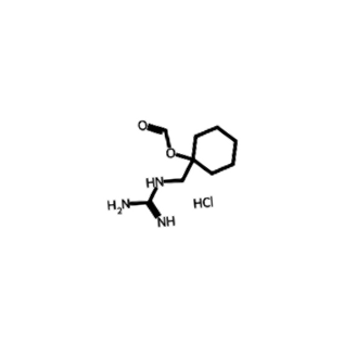 Cl.N=C(N)NCC1(OC=O)CCCCC1